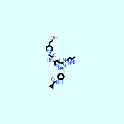 Cc1cc(Nc2nc(Sc3ccc(NC(=O)C4CC4)cc3)nn3cc(NC(=O)CN4CCC(CCO)CC4)cc23)n[nH]1